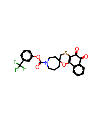 O=C1C(=O)c2ccccc2C2=C1SCC1(CCCN(C(=O)Oc3cccc(C(F)(F)F)c3)CC1)O2